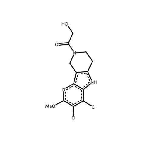 COc1nc2c3c([nH]c2c(Cl)c1Cl)CCN(C(=O)CO)C3